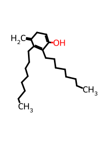 C=C1CC=C(O)C(CCCCCCCC)=C1CCCCCCCC